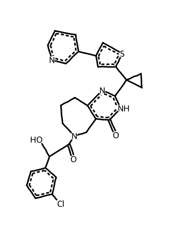 O=C(C(O)c1cccc(Cl)c1)N1CCCc2nc(C3(c4cc(-c5cccnc5)cs4)CC3)[nH]c(=O)c2C1